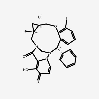 O=C1c2c(O)c(=O)ccn2N2CN1C[C@@H]1C[C@H]1COc1c(F)cccc1[C@@H]2c1ccccc1